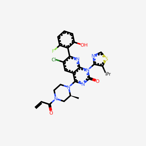 C=CC(=O)N1CCN(c2nc(=O)n(-c3ncsc3C(C)C)c3nc(-c4c(O)cccc4F)c(Cl)cc23)[C@@H](C)C1